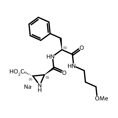 COCCCNC(=O)[C@H](Cc1ccccc1)NC(=O)[C@H]1N[C@@H]1C(=O)O.[Na]